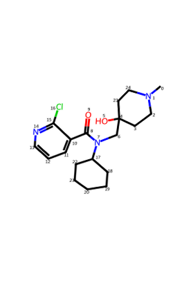 CN1CCC(O)(CN(C(=O)c2cccnc2Cl)C2CCCCC2)CC1